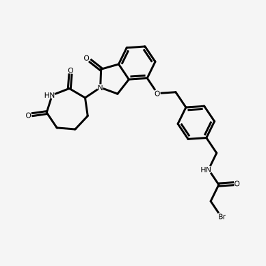 O=C(CBr)NCc1ccc(COc2cccc3c2CN(C2CCCC(=O)NC2=O)C3=O)cc1